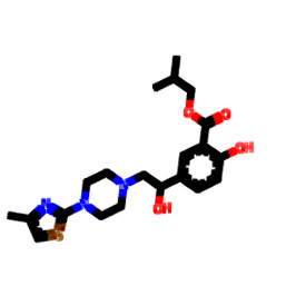 Cc1csc(N2CCN(CC(O)c3ccc(O)c(C(=O)OCC(C)C)c3)CC2)n1